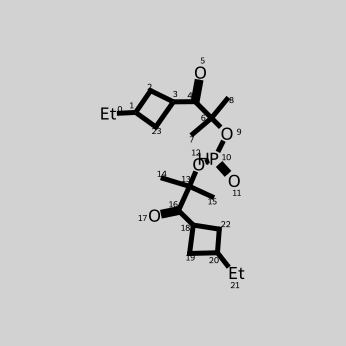 CCC1CC(C(=O)C(C)(C)O[PH](=O)OC(C)(C)C(=O)C2CC(CC)C2)C1